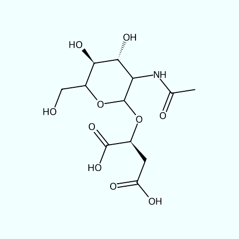 CC(=O)NC1C(O[C@@H](CC(=O)O)C(=O)O)OC(CO)[C@@H](O)[C@@H]1O